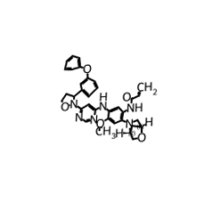 C=CC(=O)Nc1cc(Nc2cc(N3OCCC3c3cccc(Oc4ccccc4)c3)ncn2)c(OC)cc1N1C[C@H]2C[C@@H]1CO2